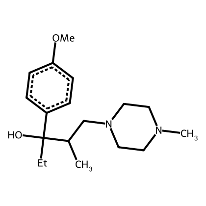 CCC(O)(c1ccc(OC)cc1)C(C)CN1CCN(C)CC1